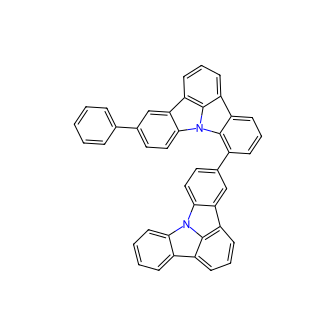 c1ccc(-c2ccc3c(c2)c2cccc4c5cccc(-c6ccc7c(c6)c6cccc8c9ccccc9n7c86)c5n3c24)cc1